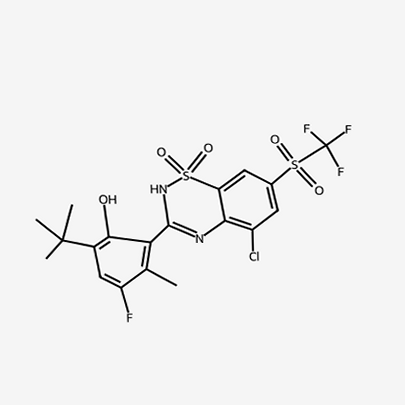 Cc1c(F)cc(C(C)(C)C)c(O)c1C1=Nc2c(Cl)cc(S(=O)(=O)C(F)(F)F)cc2S(=O)(=O)N1